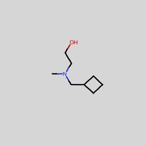 CN(CCO)CC1CCC1